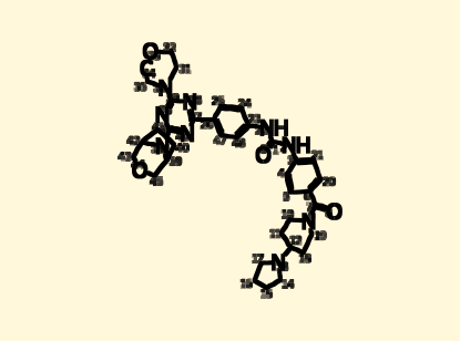 O=C(Nc1ccc(C(=O)N2CCC(N3CCCC3)CC2)cc1)Nc1ccc(-c2nc(N3CCOCC3)nc(N3C4CCC3COC4)n2)cc1